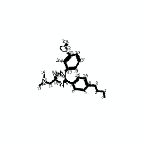 CCCCc1ccc(-c2nc(CN(C)C)nn2-c2cccc(OC)c2)cc1